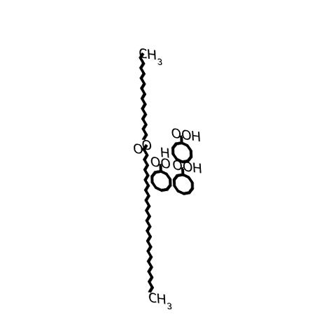 CCCCCCCCCCCCCCCCCCCCCCCCCCCCCC(=O)OCCCCCCCCCCCCCCCCCC.O=C(O)C1CCCCCCCCC1.O=C(O)C1CCCCCCCCC1.O=C(O)C1CCCCCCCCC1